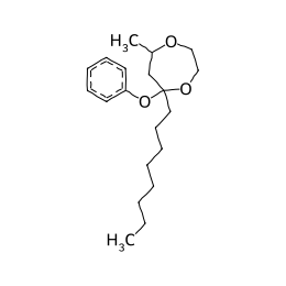 CCCCCCCCC1(Oc2ccccc2)CC(C)OCCO1